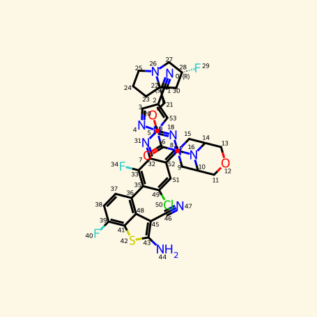 N#Cc1cnn(C(=O)N2CC3COCC(C2)N3c2nc(OC[C@@]34CCCN3C[C@H](F)C4)nc3c(F)c(-c4ccc(F)c5sc(N)c(C#N)c45)c(Cl)cc23)c1